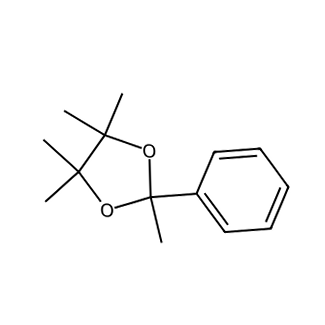 CC1(c2ccccc2)OC(C)(C)C(C)(C)O1